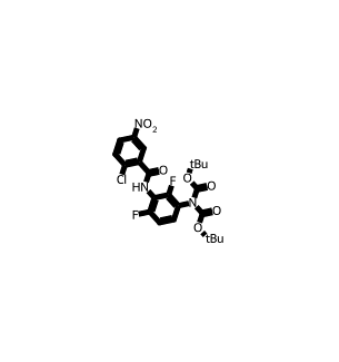 CC(C)(C)OC(=O)N(C(=O)OC(C)(C)C)c1ccc(F)c(NC(=O)c2cc([N+](=O)[O-])ccc2Cl)c1F